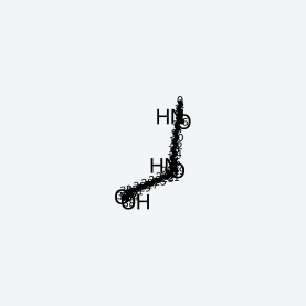 CCCCNC(=O)CCCCCCCCCCNC(=O)C(C)(C)CCCCCCCCCCC(C)(C)C(=O)O